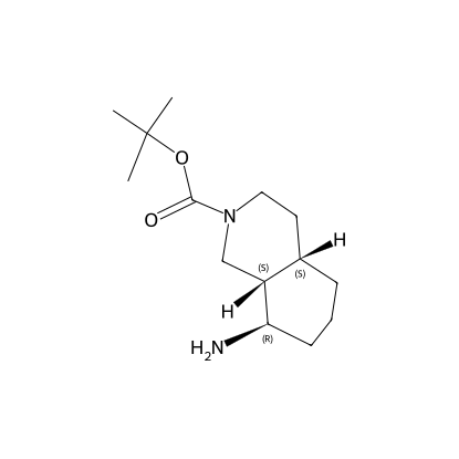 CC(C)(C)OC(=O)N1CC[C@@H]2CCC[C@@H](N)[C@@H]2C1